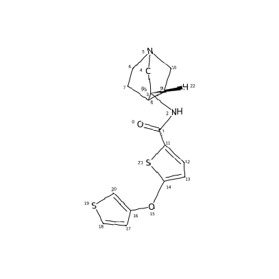 O=C(N[C@H]1CN2CCC1CC2)c1ccc(Oc2ccsc2)s1